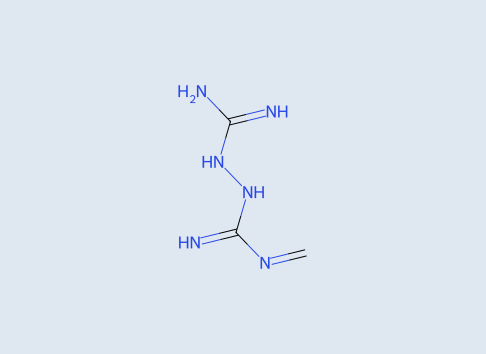 C=NC(=N)NNC(=N)N